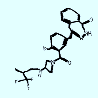 CC(CNC1CN(C(=O)c2cc(-c3n[nH]c(=O)c4ccccc34)ccc2F)C1)C(F)(F)F